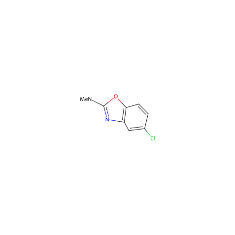 [CH]Nc1nc2cc(Cl)ccc2o1